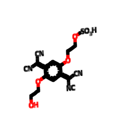 [C-]#[N+]/C(C#N)=c1/cc(OCCOS(=O)(=O)O)/c(=C(\C#N)[N+]#[C-])cc1OCCO